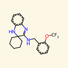 FC(F)(F)Oc1ccccc1CNC1=Nc2ccccc2NC12CCCCC2